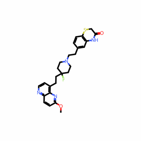 COc1ccc2nccc(CCC3(F)CCN(CCc4ccc5c(c4)NC(=O)CS5)CC3)c2n1